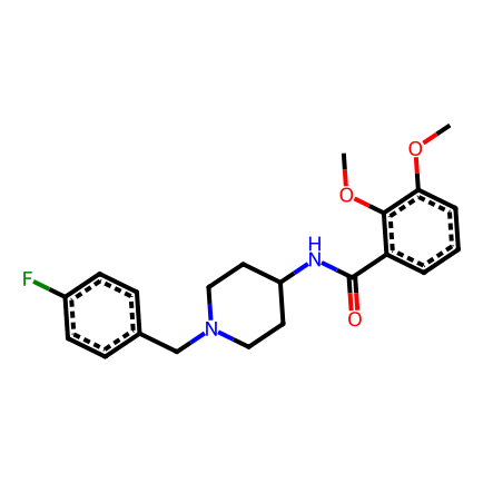 COc1cccc(C(=O)NC2CCN(Cc3ccc(F)cc3)CC2)c1OC